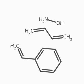 C=CC=C.C=Cc1ccccc1.NO